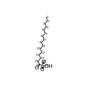 CCCCCCCCCCCCCCCC(=O)S(=O)(=O)O